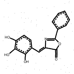 O=C1OC(c2ccccc2)=NC1=Cc1ccc(O)c(O)c1O